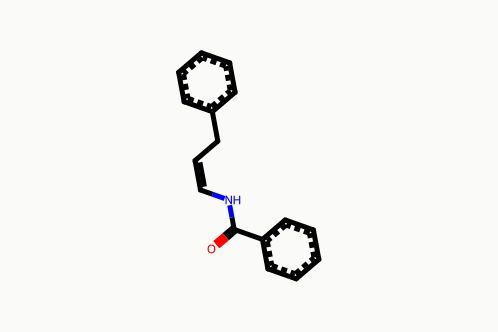 O=C(N/C=C\Cc1ccccc1)c1ccccc1